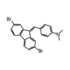 CN(C)c1ccc(C=C2c3cc(Br)ccc3-c3ccc(Br)cc32)cc1